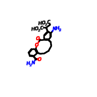 NC(=O)c1cccc2c1CCCCCc1cc(N)c(C(CC(=O)O)C(=O)O)cc1C(=O)O2